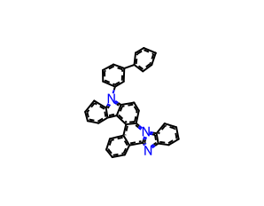 c1ccc(-c2cccc(-n3c4ccccc4c4c5c6ccccc6c6nc7ccccc7n6c5ccc43)c2)cc1